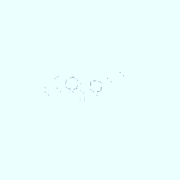 C[C@@H](O)CN1CCN(c2ccc(Nc3ncc4c(n3)N3C(C=C4)C(=O)NCC34CCCCC4)nc2)CC1